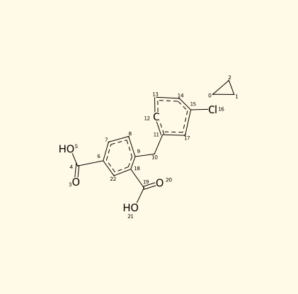 C1CC1.O=C(O)c1ccc(Cc2cccc(Cl)c2)c(C(=O)O)c1